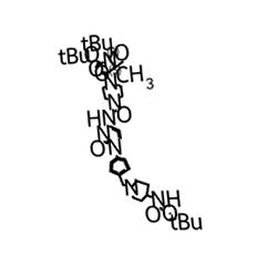 CC(C)(C)OC(=O)NC1CCN(Cc2ccc(-n3ccc(NC(=O)N4CCN(C(=O)[C@]5(C)CO[C@H](C(C)(C)C)N5C(=O)OC(C)(C)C)CC4)nc3=O)cc2)CC1